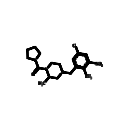 Cc1c(CN2CCN(C(=O)N3CCCC3)C(C)C2)cc(Cl)cc1[N+](=O)[O-]